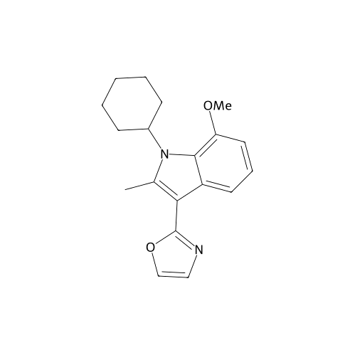 COc1cccc2c(-c3ncco3)c(C)n(C3CCCCC3)c12